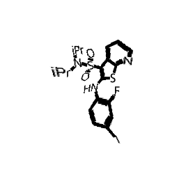 CC(C)N(C(C)C)S(=O)(=O)c1c(Nc2ccc(I)cc2F)sc2ncccc12